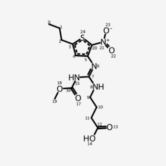 CCCc1cc(N=C(NCCCC(=O)O)NC(=O)OC)c([N+](=O)[O-])s1